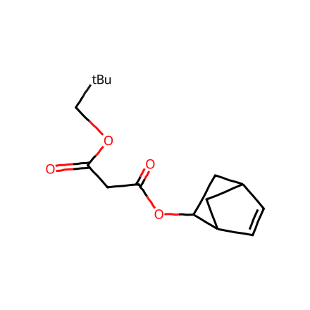 CC(C)(C)COC(=O)CC(=O)OC1CC2C=CC1C2